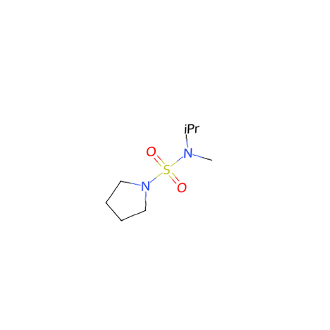 CC(C)N(C)S(=O)(=O)N1CCCC1